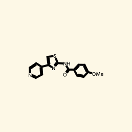 COc1ccc(C(=O)Nc2nc(-c3ccncc3)cs2)cc1